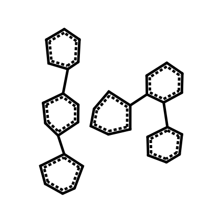 c1ccc(-c2ccc(-c3ccccc3)cc2)cc1.c1ccc(-c2ccccc2-c2ccccc2)cc1